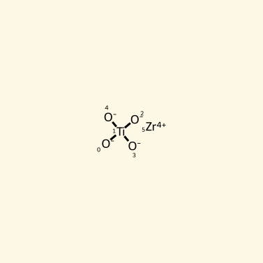 [O-][Ti]([O-])([O-])[O-].[Zr+4]